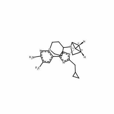 Nc1ncc(-c2cn([C@]34C5[C@@H]3[C@@H]4CN5C3CCOCC3)c(CC3CC3)n2)cc1C(F)(F)F